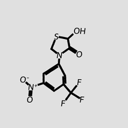 O=C1C(O)SCN1c1cc([N+](=O)[O-])cc(C(F)(F)F)c1